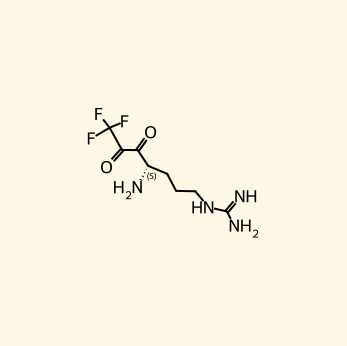 N=C(N)NCCC[C@H](N)C(=O)C(=O)C(F)(F)F